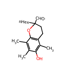 CCCCCCC1([C]=O)CCc2c(C)c(O)c(C)c(C)c2O1